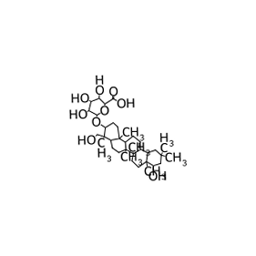 CC1(C)CC(O)C2(C)CC[C@]3(C)C(=CCC4C5(C)CCC(OC6OC(C(=O)O)C(O)C(O)C6O)[C@](C)(CO)C5CCC43C)C2C1